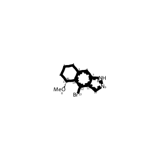 CO[C@@H]1CCCc2cc3[nH]ncc3c(Br)c21